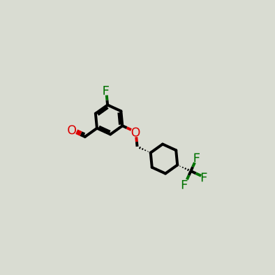 O=Cc1cc(F)cc(OC[C@H]2CC[C@@H](C(F)(F)F)CC2)c1